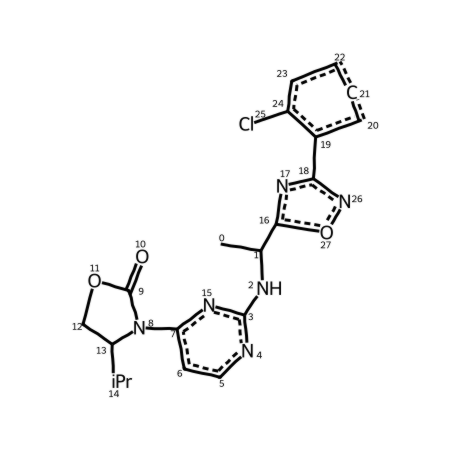 CC(Nc1nccc(N2C(=O)OCC2C(C)C)n1)c1nc(-c2ccccc2Cl)no1